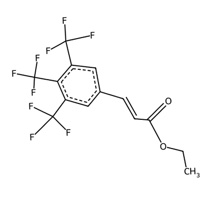 CCOC(=O)/C=C/c1cc(C(F)(F)F)c(C(F)(F)F)c(C(F)(F)F)c1